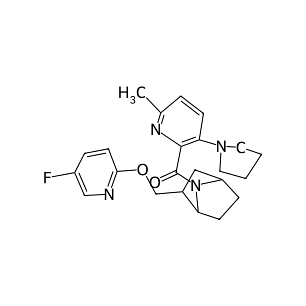 Cc1ccc(N2CCCC2)c(C(=O)N2C3CCC2C(COc2ccc(F)cn2)C3)n1